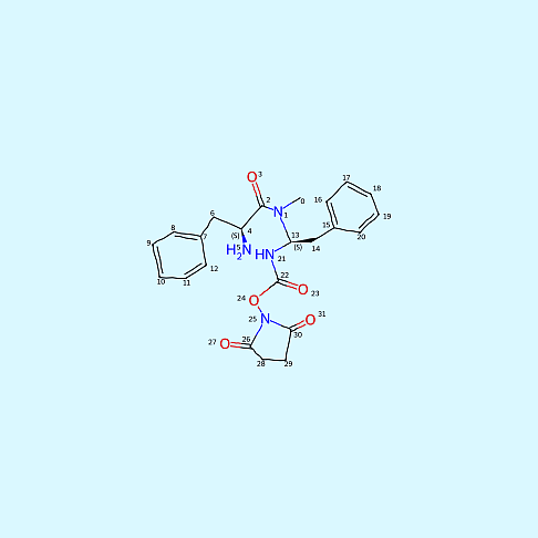 CN(C(=O)[C@@H](N)Cc1ccccc1)[C@@H](Cc1ccccc1)NC(=O)ON1C(=O)CCC1=O